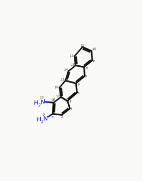 Nc1ccc2cc3cc4ccccc4cc3cc2c1N